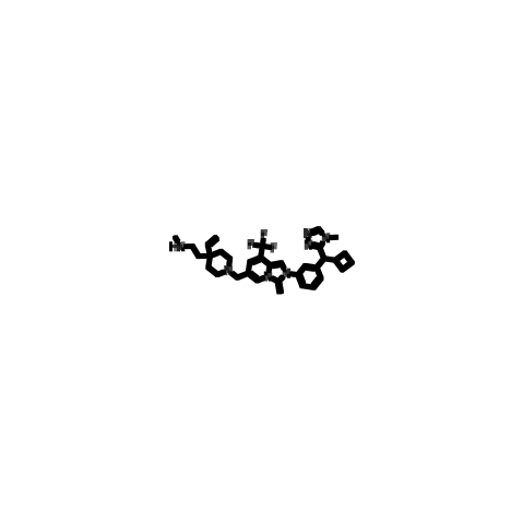 C=CC1(CCNC)CCN(CC2=CN3C(=C)N(c4cccc(C(c5nncn5C)C5CCC5)c4)C=C3C(C(F)(F)F)=C2)CC1